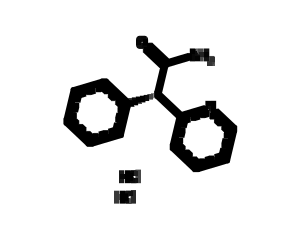 Cl.Cl.NC(=O)[C@@H](c1ccccc1)c1ccccn1